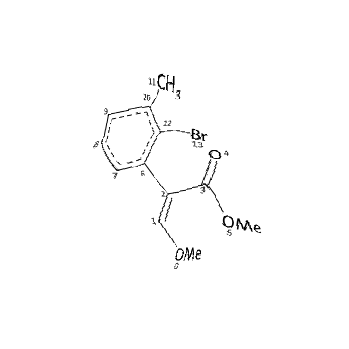 COC=C(C(=O)OC)c1cccc(C)c1Br